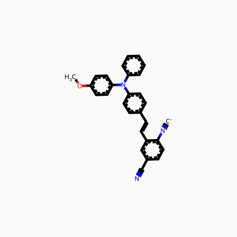 [C-]#[N+]c1ccc(C#N)cc1C=Cc1ccc(N(c2ccccc2)c2ccc(OC)cc2)cc1